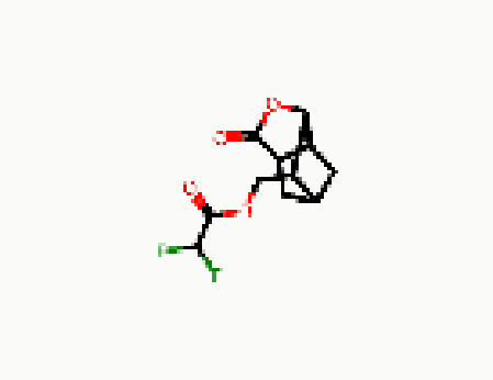 O=C(OCC1C2CC3C(=O)OC1C3C2)C(F)F